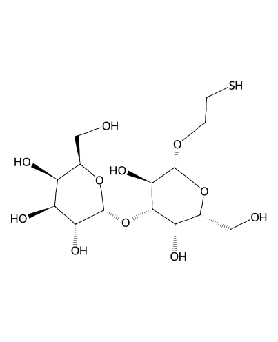 OC[C@H]1O[C@H](O[C@H]2[C@@H](O)[C@@H](CO)O[C@@H](OCCS)[C@@H]2O)[C@H](O)[C@@H](O)[C@H]1O